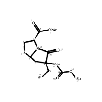 COC(=O)[C@@H]1CSC2C[C@@](CC(C)C)(NC(=O)OC(C)(C)C)C(=O)N21